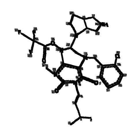 CC(C)CCn1c(=O)c2c(n(C)c1=O)N(OC(=O)C(F)(F)F)C(N1CCC3CNCC31)N2Cc1ccccc1Cl